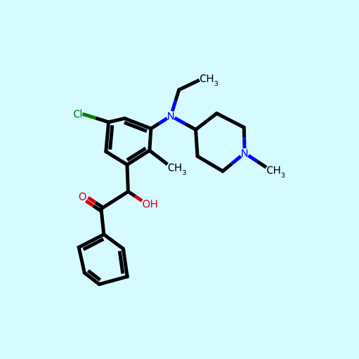 CCN(c1cc(Cl)cc(C(O)C(=O)c2ccccc2)c1C)C1CCN(C)CC1